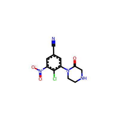 N#Cc1cc(N2CCNCC2=O)c(Cl)c([N+](=O)[O-])c1